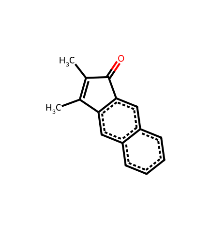 CC1=C(C)c2cc3ccccc3cc2C1=O